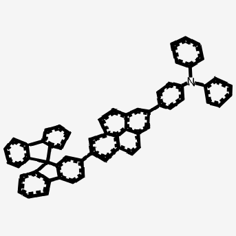 c1ccc(N(c2ccccc2)c2ccc(-c3cc4ccc5cc(-c6ccc7c(c6)C6(c8ccccc8-c8ccccc86)c6ccccc6-7)cc6ccc(c3)c4c56)cc2)cc1